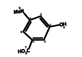 CNc1cc(O)cc(C(=O)O)c1